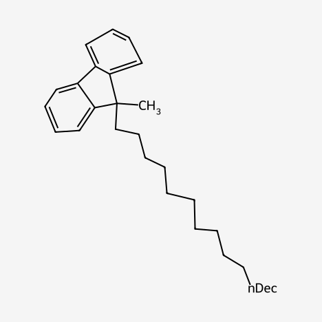 CCCCCCCCCCCCCCCCCCCCC1(C)c2ccccc2-c2ccccc21